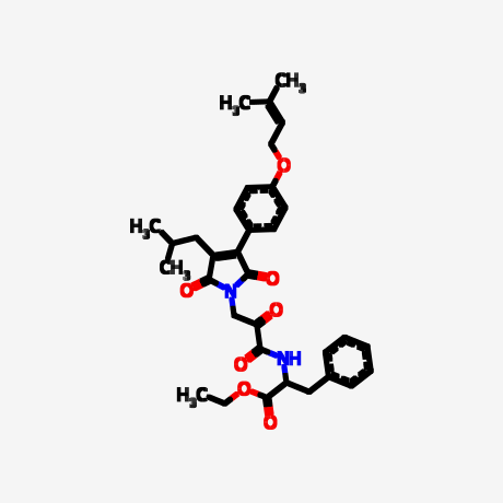 CCOC(=O)C(Cc1ccccc1)NC(=O)C(=O)CN1C(=O)C(CC(C)C)=C(c2ccc(OCC=C(C)C)cc2)C1=O